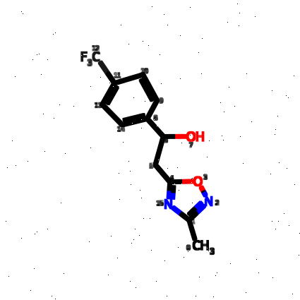 Cc1noc(CC(O)c2ccc(C(F)(F)F)cc2)n1